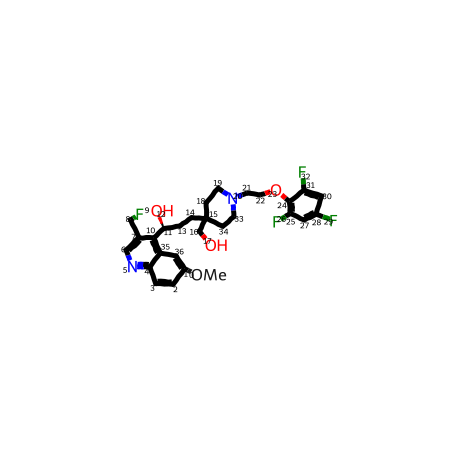 COc1ccc2ncc(CF)c([C@@H](O)CCC3(CO)CCN(CCOc4c(F)cc(F)cc4F)CC3)c2c1